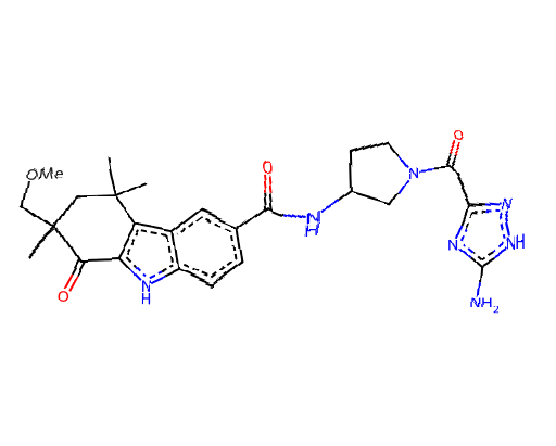 COCC1(C)CC(C)(C)c2c([nH]c3ccc(C(=O)NC4CCN(C(=O)c5n[nH]c(N)n5)C4)cc23)C1=O